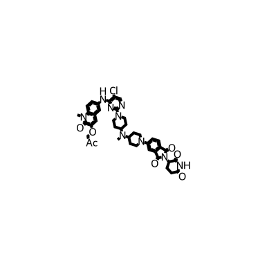 CC(=O)COc1cc2cc(Nc3nc(N4CCC(N(C)C5CCN(c6ccc7c(c6)C(=O)N(C6CCC(=O)NC6=O)C7=O)CC5)CC4)ncc3Cl)ccc2n(C)c1=O